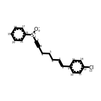 [O-][S+](C#CCCC/C=C/c1ccc(Cl)cc1)c1ccccc1